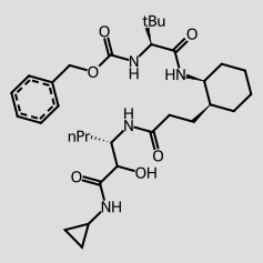 CCC[C@H](NC(=O)CC[C@@H]1CCCC[C@@H]1NC(=O)[C@@H](NC(=O)OCc1ccccc1)C(C)(C)C)C(O)C(=O)NC1CC1